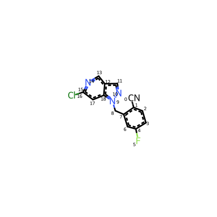 N#Cc1ccc(F)cc1Cn1ncc2cnc(Cl)cc21